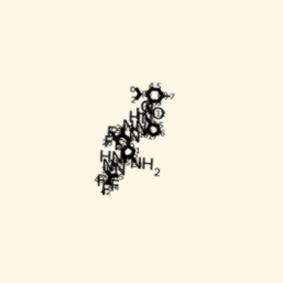 CC(C)[C@@H]1CC[C@@H](C)C[C@H]1OC(=O)NC1CCCC1(C)Nc1ncc(C(F)(F)F)c(C2CC(N)C(C)(Nc3ncc(C(F)(F)F)cn3)C2)n1